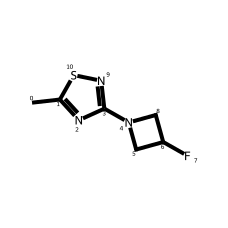 Cc1nc(N2CC(F)C2)ns1